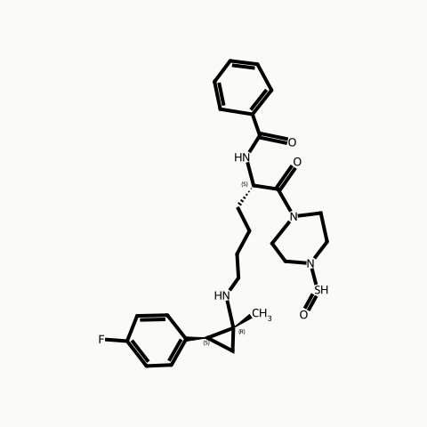 C[C@@]1(NCCCC[C@H](NC(=O)c2ccccc2)C(=O)N2CCN([SH]=O)CC2)C[C@H]1c1ccc(F)cc1